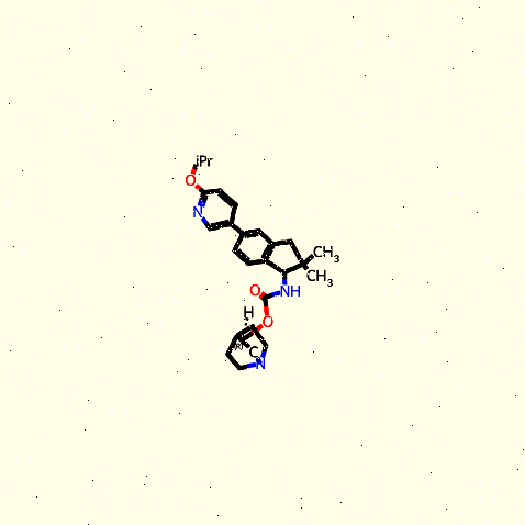 CC(C)Oc1ccc(-c2ccc3c(c2)CC(C)(C)C3NC(=O)O[C@H]2CN3CCC2CC3)cn1